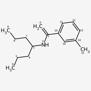 C=C(NC(CCC)CCC)c1cccc(C)c1